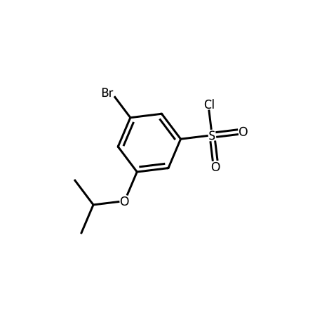 CC(C)Oc1cc(Br)cc(S(=O)(=O)Cl)c1